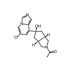 CC(=O)N1C[C@@H]2C[C@](O)(c3cc(Cl)cn4cncc34)C[C@@H]2C1